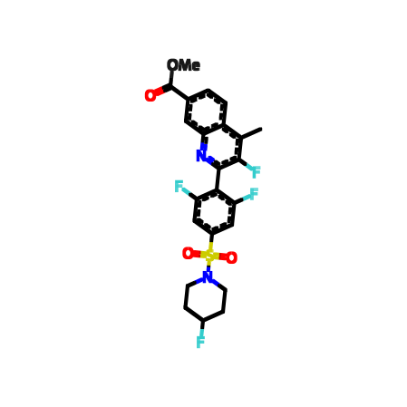 COC(=O)c1ccc2c(C)c(F)c(-c3c(F)cc(S(=O)(=O)N4CCC(F)CC4)cc3F)nc2c1